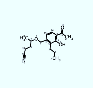 CCCc1c(COC(C)CCC#N)ccc(C(C)=O)c1O